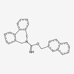 N=C(OCc1ccc2ccccc2c1)N1Cc2ccccc2-c2ccccc2C1